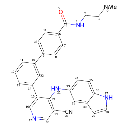 CNCCNC(=O)c1ccc(-c2cccc(-c3cncc(C#N)c3Nc3ccc4[nH]ccc4c3)c2)cc1